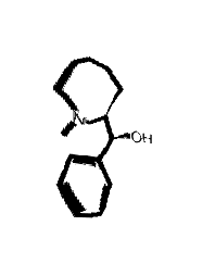 CN1CCCC[C@H]1[C@@H](O)c1ccccc1